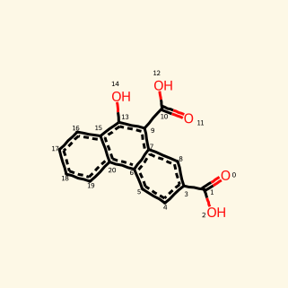 O=C(O)c1ccc2c(c1)c(C(=O)O)c(O)c1ccccc12